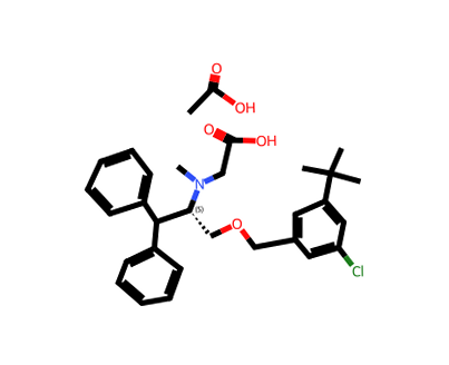 CC(=O)O.CN(CC(=O)O)[C@H](COCc1cc(Cl)cc(C(C)(C)C)c1)C(c1ccccc1)c1ccccc1